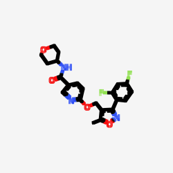 Cc1onc(-c2ccc(F)cc2F)c1COc1ccc(C(=O)NC2CCOCC2)cn1